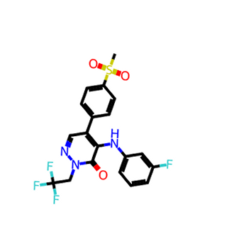 CS(=O)(=O)c1ccc(-c2cnn(CC(F)(F)F)c(=O)c2Nc2cccc(F)c2)cc1